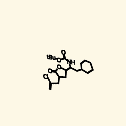 C=C(Cl)CC1CC(C(CC2CCCCC2)NC(=O)OC(C)(C)C)OC1=O